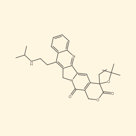 CCC1(OC(C)(C)C)C(=O)OCc2c1cc1n(c2=O)Cc2c-1nc1ccccc1c2CCNC(C)C